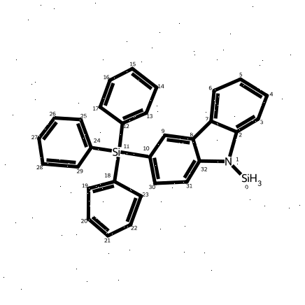 [SiH3]n1c2ccccc2c2cc([Si](c3ccccc3)(c3ccccc3)c3ccccc3)ccc21